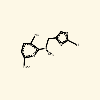 COc1ccc([N+](=O)[O-])c(N(C)Cc2csc(Cl)n2)n1